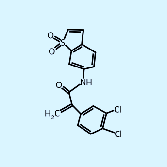 C=C(C(=O)Nc1ccc2c(c1)S(=O)(=O)C=C2)c1ccc(Cl)c(Cl)c1